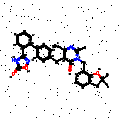 CCCCc1nc(C)n(Cc2cccc3c2OC(C)(C)C3)c(=O)c1Cc1ccc(-c2ccccc2-c2noc(=O)[nH]2)cc1